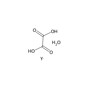 O.O=C(O)C(=O)O.[Y]